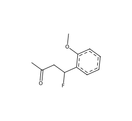 COc1ccccc1C(F)CC(C)=O